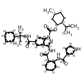 CC(C)[C@@H]1CC[C@@H](C)C[C@H]1OC(=O)n1nc(NC(=O)c2ccccc2NC(=O)c2cc[nH]c2)c2cc(C(=O)NC(C)(C)c3ccccc3)sc21